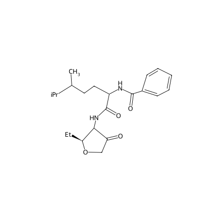 CC[C@@H]1OCC(=O)C1NC(=O)C(CCC(C)C(C)C)NC(=O)c1ccccc1